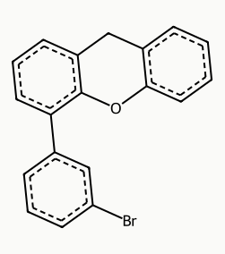 Brc1cccc(-c2cccc3c2Oc2ccccc2C3)c1